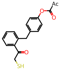 CC(=O)C(=O)Oc1ccc(Cc2ccccc2C(=O)CS)cc1